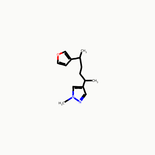 CC(CCC(C)c1cnn(C)c1)c1ccoc1